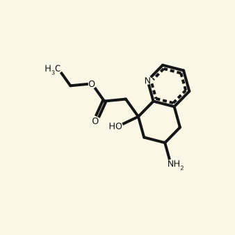 CCOC(=O)CC1(O)CC(N)Cc2cccnc21